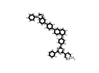 C/C=C\C(=C/CC)c1nc(-c2ccccc2)nc(-c2ccc(-c3cccc4cc(-c5ccc(-c6ccc7c(c6)ncn7-c6ccccc6)cc5)ccc34)cc2)n1